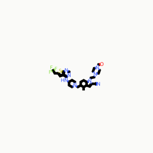 CC1C(CN2CCC(Nc3ncnc4sc(CC(F)(F)F)cc34)CC2)CCC2C1C=C(C#N)N2CCN1CCN(C=O)CC1